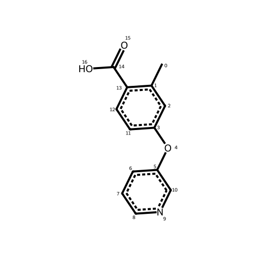 Cc1cc(Oc2cccnc2)ccc1C(=O)O